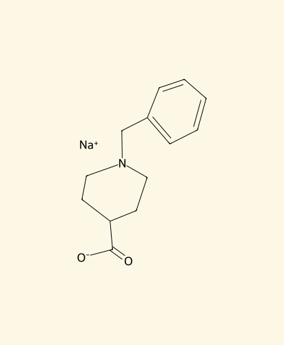 O=C([O-])C1CCN(Cc2ccccc2)CC1.[Na+]